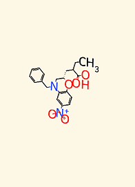 CCC(C[C@H]1CN(Cc2ccccc2)c2cc([N+](=O)[O-])ccc2O1)C(=O)O